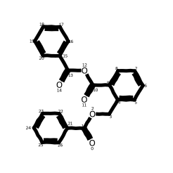 O=C(OCc1ccccc1C(=O)OC(=O)c1ccccc1)c1ccccc1